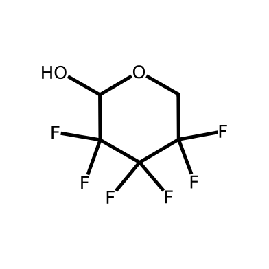 OC1OCC(F)(F)C(F)(F)C1(F)F